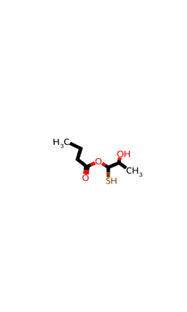 CCCC(=O)OC(S)C(C)O